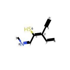 C#C/C(C=C)=C(S)/C=N\C